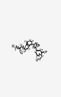 CC(C)Cn1ccc(-c2nc(-c3cccc4c3ccn4CC(N)=O)no2)cc1=O